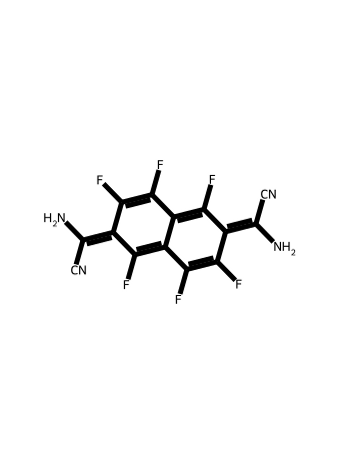 N#C/C(N)=c1/c(F)c(F)c2c(F)/c(=C(/N)C#N)c(F)c(F)c2c1F